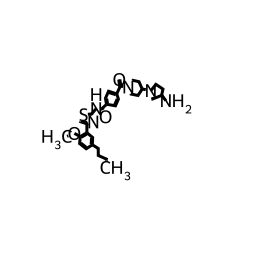 CCCCc1ccc(OC)c(-c2csc(NC(=O)c3ccc(C(=O)N4CCC(N5CCC(N)C5)CC4)cc3)n2)c1